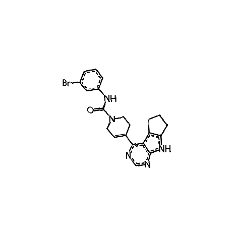 O=C(Nc1cccc(Br)c1)N1CC=C(c2ncnc3[nH]c4c(c23)CCC4)CC1